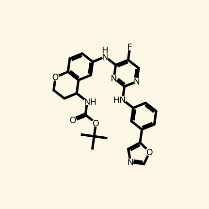 CC(C)(C)OC(=O)NC1CCOc2ccc(Nc3nc(Nc4cccc(-c5cnco5)c4)ncc3F)cc21